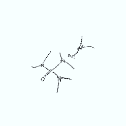 CC(=O)N(C)C.CN(C)P(=O)(N(C)C)N(C)C